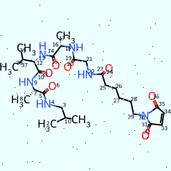 CC(C)CNC(=O)[C@H](C)NC(=O)[C@@H](NC(=O)[C@H](C)NC(=O)CNC(=O)CCCCCN1C(=O)C=CC1=O)C(C)C